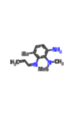 C=C/C=N\c1c(C(C)CC)ccc(N)c1N(C)SC